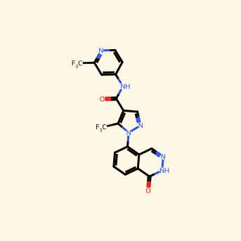 O=C(Nc1ccnc(C(F)(F)F)c1)c1cnn(-c2cccc3c(=O)[nH]ncc23)c1C(F)(F)F